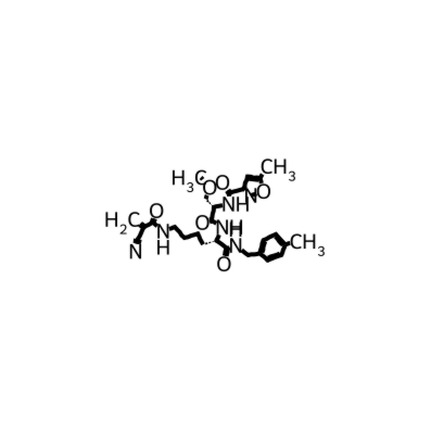 C=C(C#N)C(=O)NCCCC[C@H](NC(=O)[C@H](COC)NC(=O)c1cc(C)on1)C(=O)NCc1ccc(C)cc1